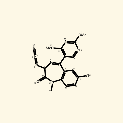 COc1ncc(C2=NC(N=[N+]=[N-])C(=O)N(C)c3ccc(Cl)cc32)c(OC)n1